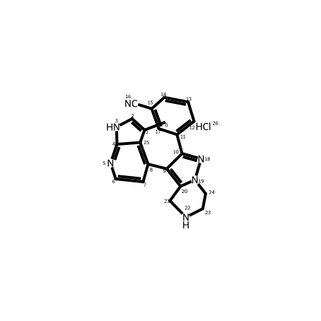 Cc1c[nH]c2nccc(-c3c(-c4cccc(C#N)c4)nn4c3CNCC4)c12.Cl